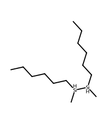 CCCCCC[SiH](C)[SiH](C)CCCCCC